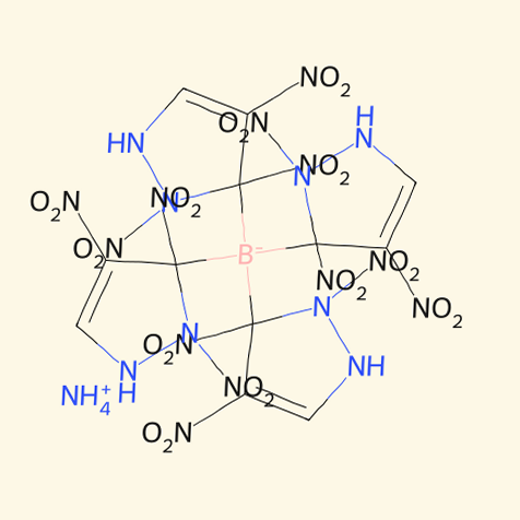 O=[N+]([O-])C1=CNN([N+](=O)[O-])C1([N+](=O)[O-])[B-](C1([N+](=O)[O-])C([N+](=O)[O-])=CNN1[N+](=O)[O-])(C1([N+](=O)[O-])C([N+](=O)[O-])=CNN1[N+](=O)[O-])C1([N+](=O)[O-])C([N+](=O)[O-])=CNN1[N+](=O)[O-].[NH4+]